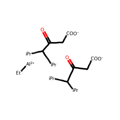 CC(C)C(C(=O)CC(=O)[O-])C(C)C.CC(C)C(C(=O)CC(=O)[O-])C(C)C.C[CH2][Al+2]